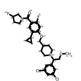 COCC(c1cc(Cl)cc(Cl)c1)N1CCC(COc2cc(F)c(C(=O)N3CCC(F)C3)cc2C2CC2)CC1